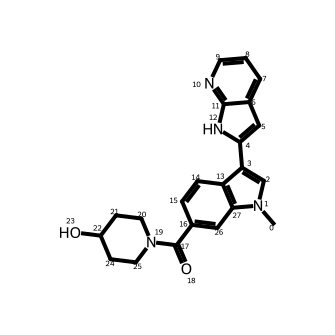 Cn1cc(-c2cc3cccnc3[nH]2)c2ccc(C(=O)N3CCC(O)CC3)cc21